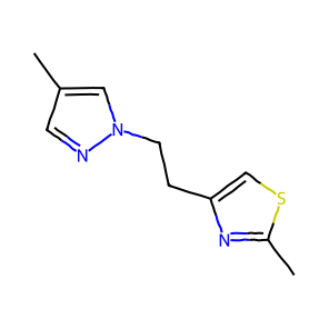 Cc1cnn(CCc2csc(C)n2)c1